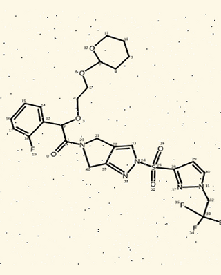 O=C(C(OCCOC1CCCCO1)c1ccccc1F)N1Cc2cn(S(=O)(=O)c3ccn(CC(F)(F)F)n3)nc2C1